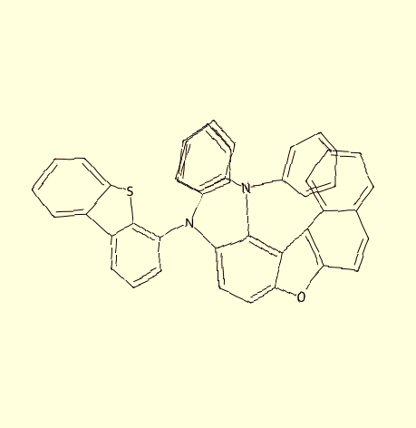 c1ccc(N(c2ccc3oc4ccc5ccccc5c4c3c2N(c2ccccc2)c2ccccc2)c2cccc3c2sc2ccccc23)cc1